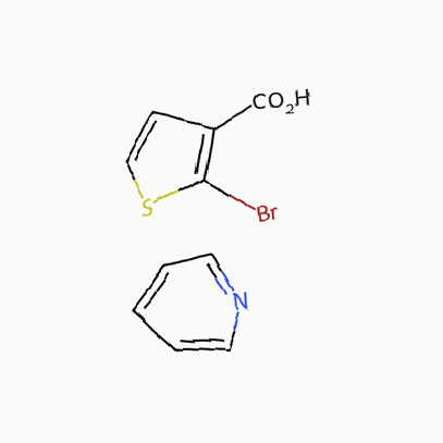 O=C(O)c1ccsc1Br.c1ccncc1